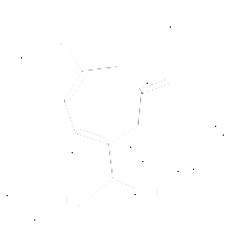 C=C1CC(Br)=CC=C(C(C)C)C1